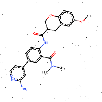 COc1ccc2c(c1)CC(C(=O)Nc1ccc(-c3ccnc(N)c3)cc1C(=O)N(C)C)CO2